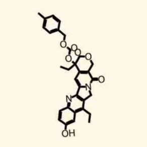 CCc1c2c(nc3ccc(O)cc13)-c1cc3c(c(=O)n1C2)COC(=O)C3(CC)OC(=O)OCc1ccc(C)cc1